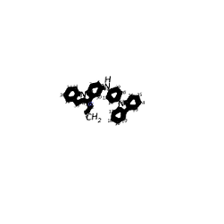 C=C/C=c1\c2n(c3ccc(Nc4ccc(-n5c6ccccc6c6ccccc65)cc4)cc13)C1CC=CC=C1C=2